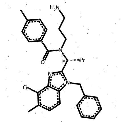 Cc1ccc(C(=O)N(CCCN)[C@@H](c2nc3c(Cl)c(C)ccc3n2Cc2ccccc2)C(C)C)cc1